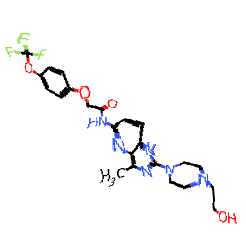 Cc1nc(N2CCN(CCO)CC2)nc2ccc(NC(=O)COc3ccc(OC(F)(F)F)cc3)nc12